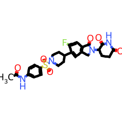 CC(=O)Nc1ccc(S(=O)(=O)N2CCC(c3cc4c(cc3F)C(=O)N(C3CCC(=O)NC3=O)C4)CC2)cc1